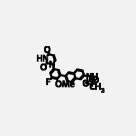 COc1c(F)cc(-n2ccc(=O)[nH]c2=O)cc1-c1ccc2cc(NS(C)(=O)=O)ccc2c1